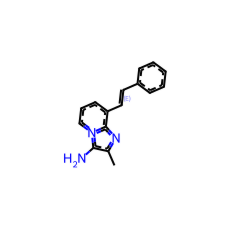 Cc1nc2c(/C=C/c3ccccc3)cccn2c1N